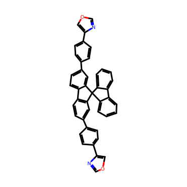 c1ccc2c(c1)-c1ccccc1C21c2cc(-c3ccc(-c4cocn4)cc3)ccc2-c2ccc(-c3ccc(-c4cocn4)cc3)cc21